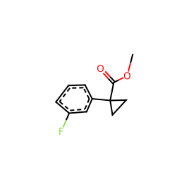 COC(=O)C1(c2cccc(F)c2)CC1